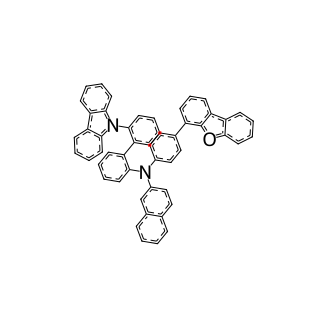 c1ccc(N(c2ccc(-c3cccc4c3oc3ccccc34)cc2)c2ccc3ccccc3c2)c(-c2ccccc2-n2c3ccccc3c3ccccc32)c1